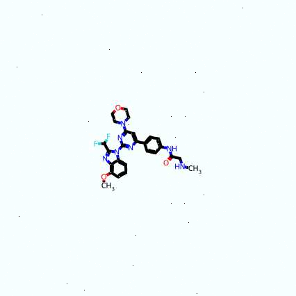 CNCC(=O)Nc1ccc(-c2cc(N3CCOCC3)nc(-n3c(C(F)F)nc4c(OC)cccc43)n2)cc1